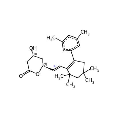 Cc1cc(C)cc(C2=C(/C=C/[C@@H]3C[C@@H](O)CC(=O)O3)C(C)(C)CC(C)(C)C2)c1